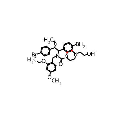 Bc1ccc(C(C(N=C)c2ccc(Br)cc2)N(Cc2ccc(OC)cc2OCC)C(=O)N2CCN(CCO)CC2)cc1